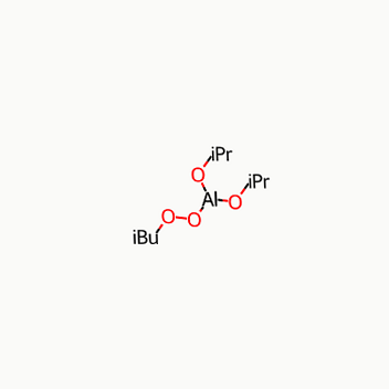 CCC(C)O[O][Al]([O]C(C)C)[O]C(C)C